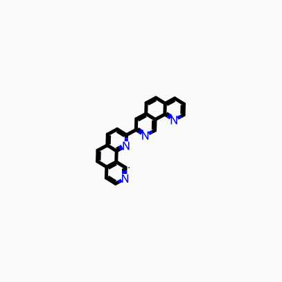 [c]1nccc2ccc3ccc(-c4cc5ccc6cccnc6c5cn4)nc3c12